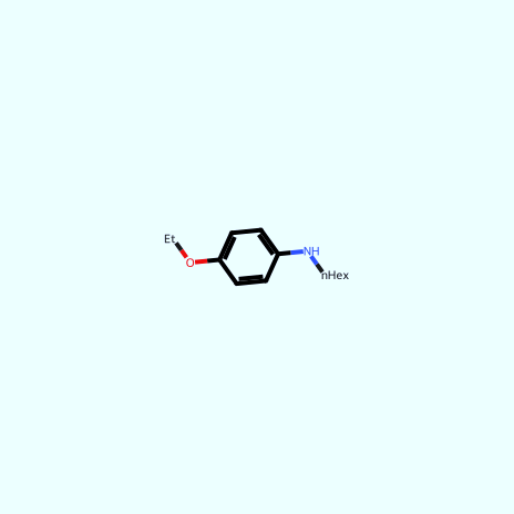 CCCCCCNc1ccc(OCC)cc1